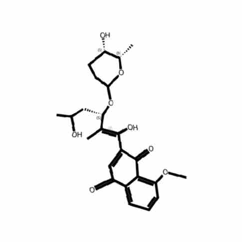 COc1cccc2c1C(=O)C(/C(O)=C(\C)[C@H](CC(C)O)OC1CC[C@H](O)[C@H](C)O1)=CC2=O